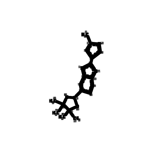 Cn1cc(-c2nc3cc(B4OC(C)(C)C(C)(C)O4)ccc3o2)cn1